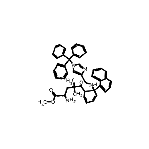 COC(=O)C(N)CC(C)(C)C(=O)C1C=CC=CC1(NCc1cn(C(c2ccccc2)(c2ccccc2)c2ccccc2)cn1)c1cccc2ccccc12